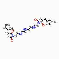 C/C(=C\C(C)(C)C)CC1CC(=O)N(CCNCCNCCNCCN2C(=O)CC(C/C(C)=C/C(C)(C)C)C2=O)C1=O